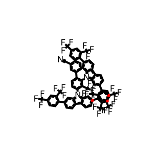 N#Cc1cccc(-c2ccc(-n3c4cc(-c5ccc(C(F)(F)F)cc5C(F)(F)F)ccc4c4ccc(-c5ccc(C(F)(F)F)cc5C(F)(F)F)cc43)c(C(F)(F)F)c2-n2c3cc(-c4ccc(C(F)(F)F)cc4C(F)(F)F)ccc3c3ccc(-c4ccc(C(F)(F)F)cc4C(F)(F)F)cc32)c1